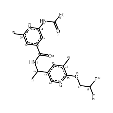 CCC(=O)Nc1cc(C(=O)NC(C)c2cnc(OCC(F)F)c(C)c2)cc(C)n1